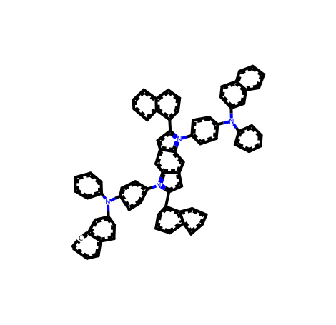 c1ccc(N(c2ccc(-n3c(-c4cccc5ccccc45)cc4cc5c(cc(-c6cccc7ccccc67)n5-c5ccc(N(c6ccccc6)c6ccc7ccccc7c6)cc5)cc43)cc2)c2ccc3ccccc3c2)cc1